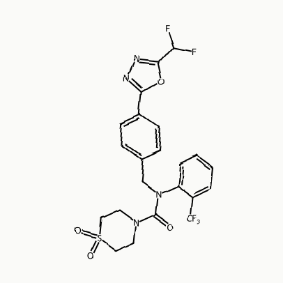 O=C(N1CCS(=O)(=O)CC1)N(Cc1ccc(-c2nnc(C(F)F)o2)cc1)c1ccccc1C(F)(F)F